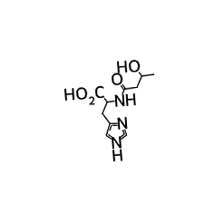 CC(O)CC(=O)NC(Cc1c[nH]cn1)C(=O)O